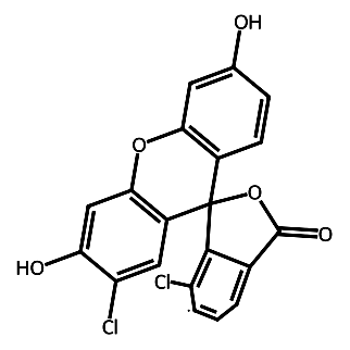 O=C1OC2(c3ccc(O)cc3Oc3cc(O)c(Cl)cc32)c2c(Cl)[c]ccc21